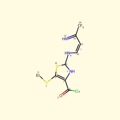 CCSC1=C(C(=O)Cl)NC(N/C=C\C(=N)C(F)(F)F)S1